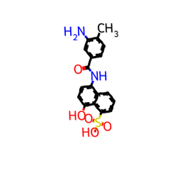 Cc1ccc(C(=O)Nc2ccc(O)c3c(S(=O)(=O)O)cccc23)cc1N